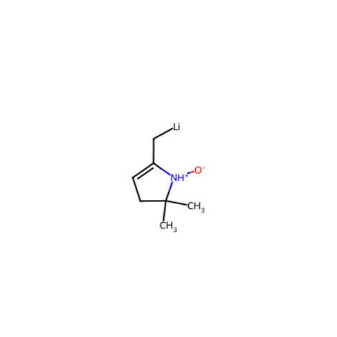 [Li][CH2]C1=CCC(C)(C)[NH+]1[O-]